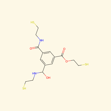 O=C(NCCS)c1cc(C(=O)OCCS)cc(C(O)NCCS)c1